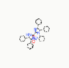 O=[N+]([O-])c1ccccc1-n1c(-c2nc(-c3ccccc3)c(-c3ccccc3)[nH]2)nc(-c2ccccc2)c1-c1ccccc1